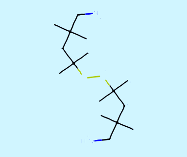 CC(C)(CN)CC(C)(C)SSC(C)(C)CC(C)(C)CN